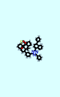 CC1(C)c2ccccc2C2(c3ccccc3Sc3ccccc32)c2cccc(-c3cccc(-c4nc(-c5ccccc5)nc(-c5ccc(-c6ccccc6)c6ccccc56)n4)c3)c21